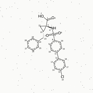 O=C(O)[C@@]1(NS(=O)(=O)c2ccc(-c3ccc(Cl)cc3)cc2)C[C@H]1Cc1ccccc1